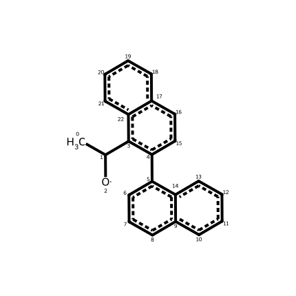 CC([O])c1c(-c2cccc3ccccc23)ccc2ccccc12